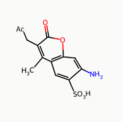 CC(=O)Cc1c(C)c2cc(S(=O)(=O)O)c(N)cc2oc1=O